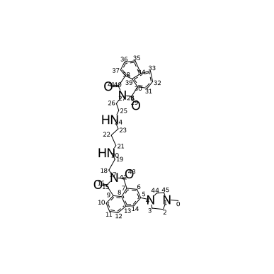 CN1CCN(c2cc3c4c(cccc4c2)C(=O)N(CCNCCCNCCN2C(=O)c4cccc5cccc(c45)C2=O)C3=O)CC1